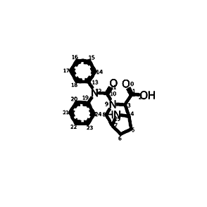 O=C(O)C1C2CCC(CN1C(=O)N(c1ccccc1)c1ccccc1)N2